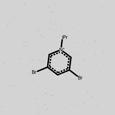 CC(C)[n+]1cc(Br)cc(Br)c1